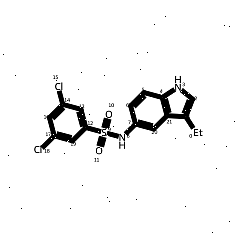 CCc1c[nH]c2ccc(NS(=O)(=O)c3cc(Cl)cc(Cl)c3)cc12